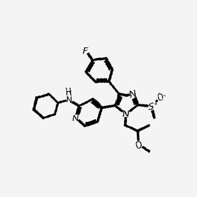 COC(C)Cn1c([S+](C)[O-])nc(-c2ccc(F)cc2)c1-c1ccnc(NC2CCCCC2)c1